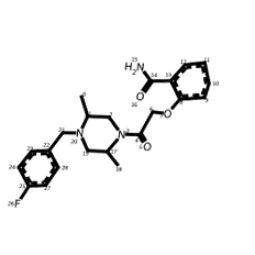 CC1CN(C(=O)COc2ccccc2C(N)=O)C(C)CN1Cc1ccc(F)cc1